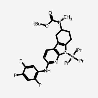 CC(C)[Si](C(C)C)(C(C)C)n1c2c(c3ccc(Nc4cc(F)c(F)cc4F)nc31)CC(N(C)C(=O)OC(C)(C)C)CC2